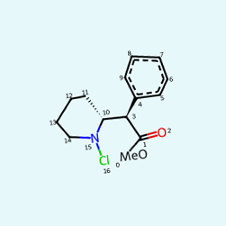 COC(=O)[C@H](c1ccccc1)[C@H]1CCCCN1Cl